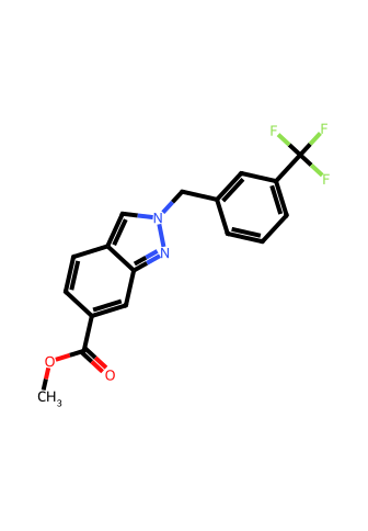 COC(=O)c1ccc2cn(Cc3cccc(C(F)(F)F)c3)nc2c1